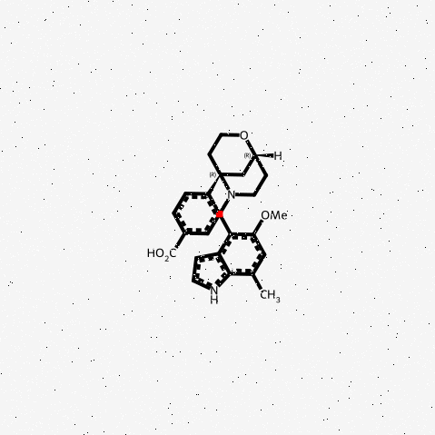 COc1cc(C)c2[nH]ccc2c1CN1CC[C@@H]2C[C@@]1(c1ccc(C(=O)O)cc1)CCO2